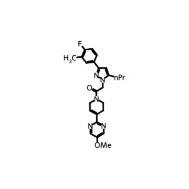 CCCc1cc(-c2ccc(F)c(C)c2)nn1CC(=O)N1CC=C(c2ncc(OC)cn2)CC1